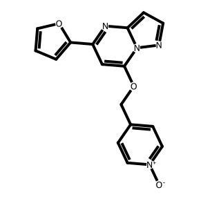 [O-][n+]1ccc(COc2cc(-c3ccco3)nc3ccnn23)cc1